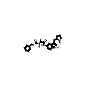 C[C@H](NC(=O)OCc1ccccc1)C(=O)Nc1ccc2[nH]cc(CC3CCCN3C)c2c1